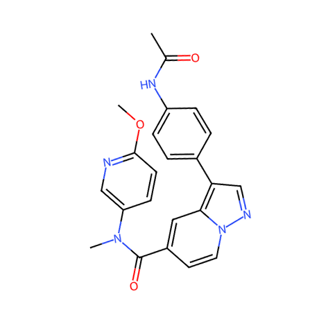 COc1ccc(N(C)C(=O)c2ccn3ncc(-c4ccc(NC(C)=O)cc4)c3c2)cn1